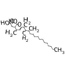 C=C(C=CC(=C)C(CC(=O)O)C(=O)O)C(=C)C(=C)CCCCCCCCCCCC